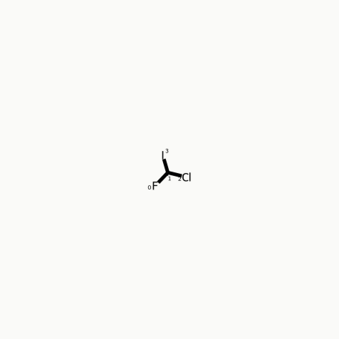 F[C](Cl)I